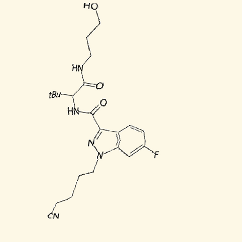 CC(C)(C)C(NC(=O)c1nn(CCCCC#N)c2cc(F)ccc12)C(=O)NCCCO